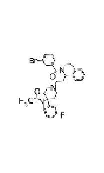 CC(=O)NC1(c2cccc(F)c2)CCN(CCC2c3ccccc3CCN2C(=O)c2cccc(Br)c2)CC1